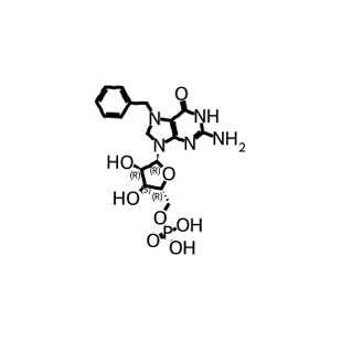 Nc1nc2c(c(=O)[nH]1)N(Cc1ccccc1)CN2[C@@H]1O[C@H](COP(=O)(O)O)[C@@H](O)[C@H]1O